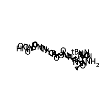 CC(C)(C1CCN(C(=O)COC(=O)N2CCN(c3cnc(-c4c(-c5nn(C(C)(C)C)c6ncnc(N)c56)noc4C4CC4)nc3)CC2)CC1)N1CCN(c2cccc3c2CCN3C2CCC(=O)NC2=O)CC1